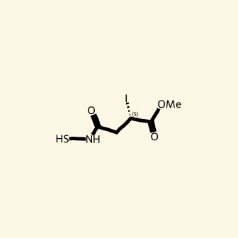 COC(=O)[C@@H](I)CC(=O)NS